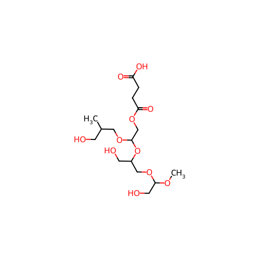 COC(CO)OCC(CO)OC(COC(=O)CCC(=O)O)OCC(C)CO